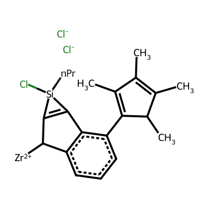 CCC[Si]1(Cl)C2=C1[CH]([Zr+2])c1cccc(C3=C(C)C(C)=C(C)C3C)c12.[Cl-].[Cl-]